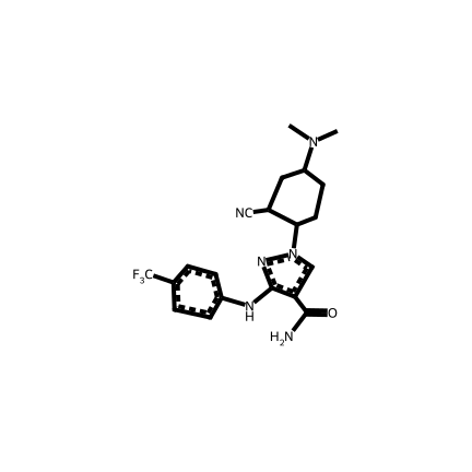 CN(C)C1CCC(n2cc(C(N)=O)c(Nc3ccc(C(F)(F)F)cc3)n2)C(C#N)C1